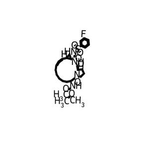 CC(C)(C)OC(=O)N[C@H]1CCCCCC=C=C[C@@H]2C[C@@]2(C(=O)NS(=O)(=O)c2cccc(F)c2)NC(=O)[C@@H]2CCCN2C1=O